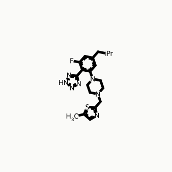 Cc1cnc(CN2CCN(c3cc(CC(C)C)cc(F)c3-c3nn[nH]n3)CC2)s1